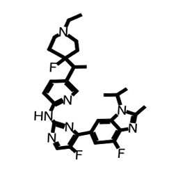 CCN1CCC(F)(C(C)c2ccc(Nc3ncc(F)c(-c4cc(F)c5nc(C)n(C(C)C)c5c4)n3)nc2)CC1